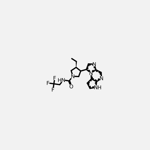 CC[C@@H]1CN(C(=O)NCC(F)(F)F)CC1c1cnc2cnc3[nH]ccc3n12